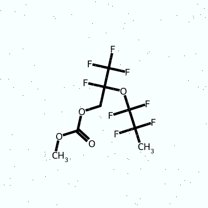 COC(=O)OCC(F)(OC(F)(F)C(C)(F)F)C(F)(F)F